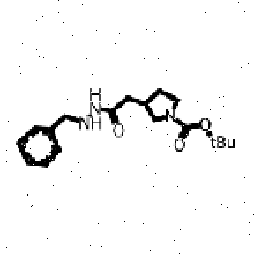 CC(C)(C)OC(=O)N1CCC(CC(=O)NNCc2ccccc2)C1